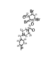 CC1CN(C(=O)COc2c(Br)cc(Br)c(C=O)c2Br)C(C)CN1Cc1ccc(F)cc1